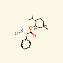 CC(C)[C@@H]1CC[C@@H](C)C[C@H]1OC(=O)[C@H](c1ccccc1)N(C)Cl